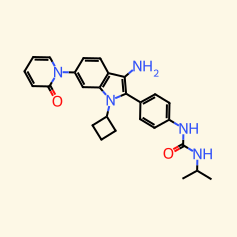 CC(C)NC(=O)Nc1ccc(-c2c(N)c3ccc(-n4ccccc4=O)cc3n2C2CCC2)cc1